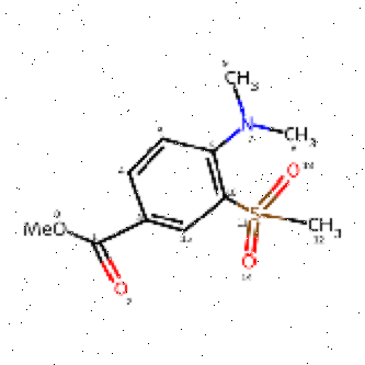 COC(=O)c1ccc(N(C)C)c(S(C)(=O)=O)c1